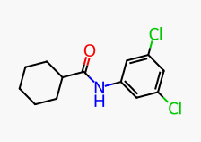 O=C(Nc1cc(Cl)cc(Cl)c1)C1CCCCC1